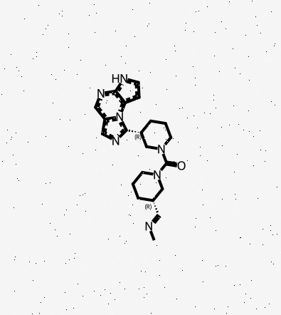 CN=C[C@@H]1CCCN(C(=O)N2CCC[C@@H](c3ncc4cnc5[nH]ccc5n34)C2)C1